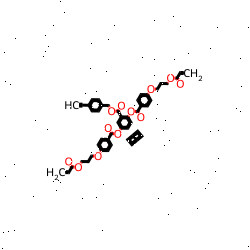 C#Cc1ccc(COC(=O)c2cc(OC(=O)c3ccc(OCCCOC(=O)C=C)cc3)ccc2OC(=O)c2ccc(OCCCOC(=O)C=C)cc2)cc1.c1cc2ccc1-2